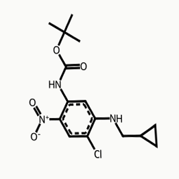 CC(C)(C)OC(=O)Nc1cc(NCC2CC2)c(Cl)cc1[N+](=O)[O-]